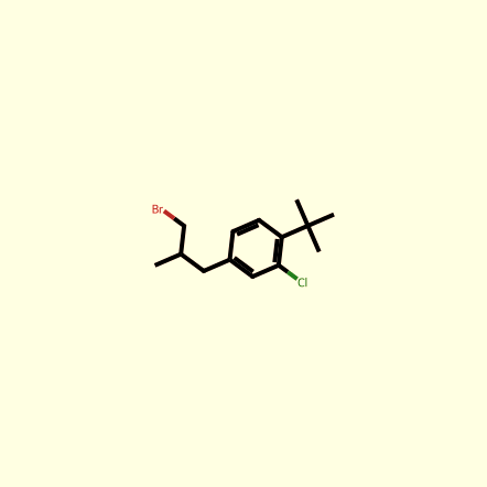 CC(CBr)Cc1ccc(C(C)(C)C)c(Cl)c1